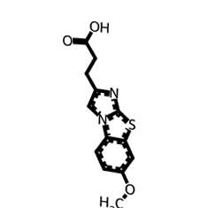 COc1ccc2c(c1)sc1nc(CCC(=O)O)cn12